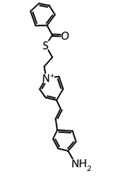 Nc1ccc(/C=C/c2cc[n+](CCSC(=O)c3ccccc3)cc2)cc1